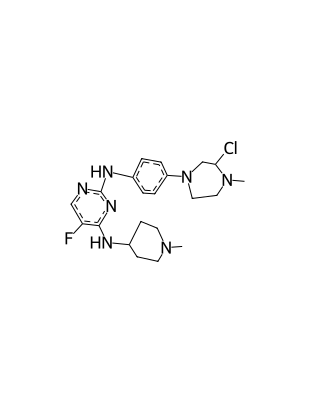 CN1CCC(Nc2nc(Nc3ccc(N4CCN(C)C(Cl)C4)cc3)ncc2F)CC1